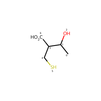 CC(O)C(CS)C(=O)O